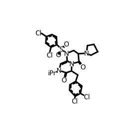 CC(C)N1C=C2N(C(=O)C(N3CCCC3)CN2S(=O)(=O)c2ccc(Cl)cc2Cl)C(Cc2ccc(Cl)c(Cl)c2)C1=O